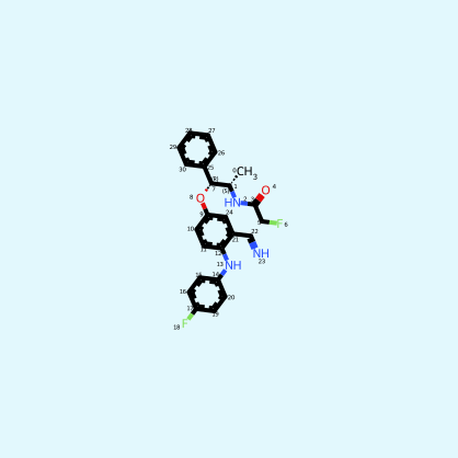 C[C@H](NC(=O)CF)[C@H](Oc1ccc(Nc2ccc(F)cc2)c(C=N)c1)c1ccccc1